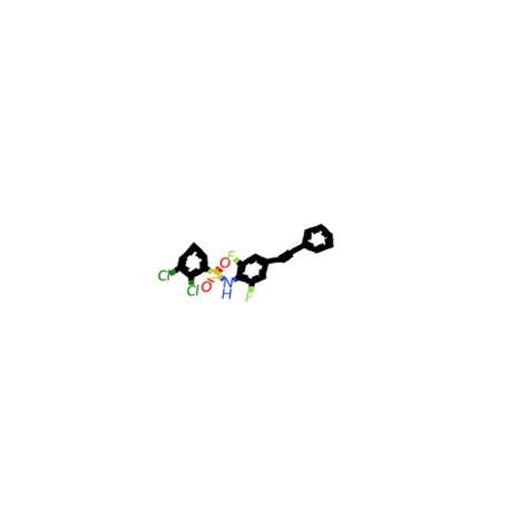 O=S(=O)(Nc1c(F)cc(C#Cc2ccccc2)cc1F)c1cccc(Cl)c1Cl